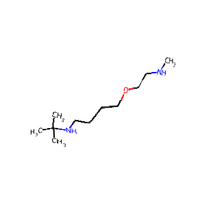 CNCCOCCCCNC(C)(C)C